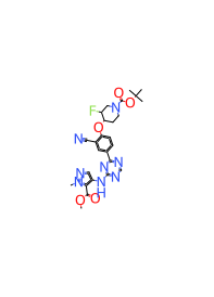 COC(=O)c1c(Nc2ncnc(-c3ccc(OC4CCN(C(=O)OC(C)(C)C)CC4F)c(C#N)c3)n2)cnn1C